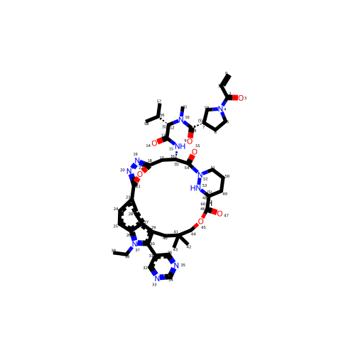 C=CC(=O)N1CC[C@H](C(=O)N(C)[C@H](C(=O)N[C@H]2Cc3nnc(o3)-c3ccc4c(c3)c(c(-c3cncnc3)n4CC)CC(C)(C)COC(=O)[C@@H]3CCCN(N3)C2=O)C(C)C)C1